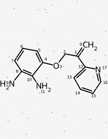 C=C(COc1cccc(N)c1N)c1ccccn1